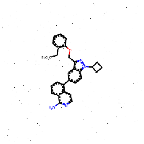 CCOC(=O)Cc1ccccc1OCc1nn(C2CCC2)c2ccc(-c3cccc4c(N)nccc34)cc12